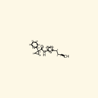 C#CCCc1nnc(NC(=O)C2(c3ccccn3)CC2)s1